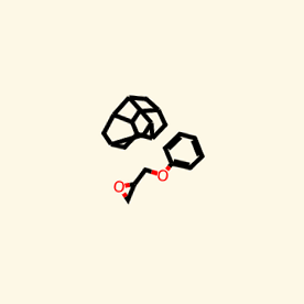 C1C2CC3C4CC5CC(C14)C(C2)C3C5.c1ccc(OCC2CO2)cc1